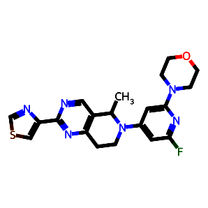 CC1c2cnc(-c3cscn3)nc2CCN1c1cc(F)nc(N2CCOCC2)c1